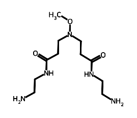 CON(CCC(=O)NCCN)CCC(=O)NCCN